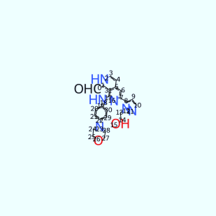 O=CC1NC=Cc2cc(-c3ccnn3CCO)nc(Nc3ccc(N4CCOCC4)cc3)c21